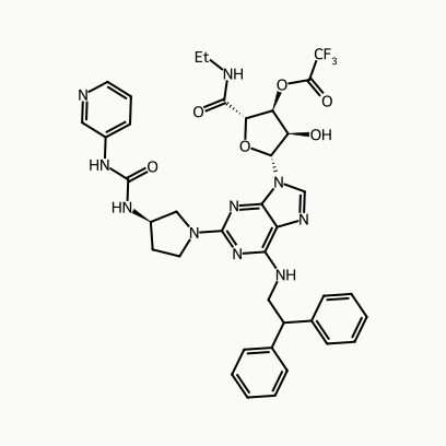 CCNC(=O)[C@H]1O[C@@H](n2cnc3c(NCC(c4ccccc4)c4ccccc4)nc(N4CC[C@@H](NC(=O)Nc5cccnc5)C4)nc32)[C@H](O)[C@@H]1OC(=O)C(F)(F)F